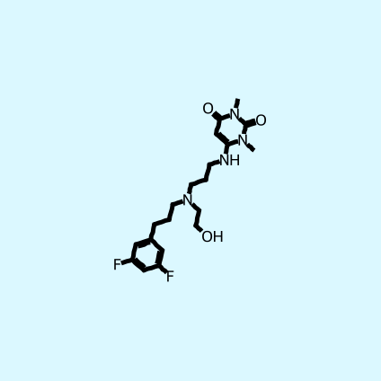 Cn1c(NCCCN(CCO)CCCc2cc(F)cc(F)c2)cc(=O)n(C)c1=O